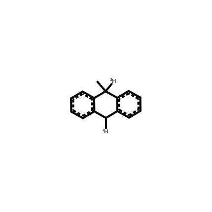 [2H]C1c2ccccc2C([2H])(C)c2ccccc21